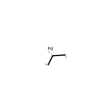 CCC.[Pd]